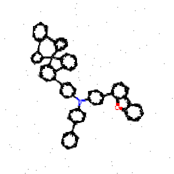 c1ccc(-c2ccc(N(c3ccc(-c4cccc5c4-c4ccccc4C54c5ccccc5-c5ccccc5-c5ccccc54)cc3)c3ccc(-c4cccc5c4oc4ccccc45)cc3)cc2)cc1